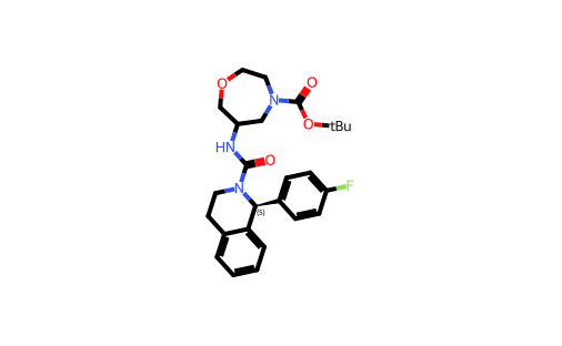 CC(C)(C)OC(=O)N1CCOCC(NC(=O)N2CCc3ccccc3[C@@H]2c2ccc(F)cc2)C1